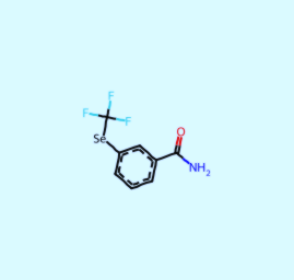 NC(=O)c1cccc([Se]C(F)(F)F)c1